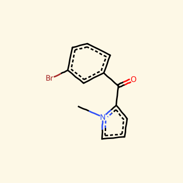 Cn1cccc1C(=O)c1cccc(Br)c1